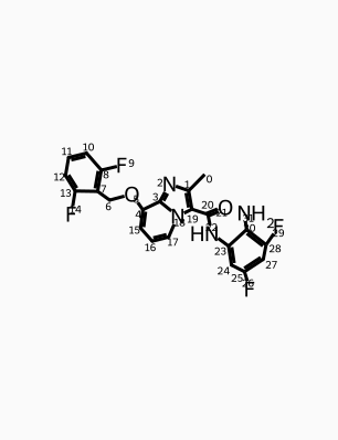 Cc1nc2c(OCc3c(F)cccc3F)cccn2c1C(=O)Nc1cc(F)cc(F)c1N